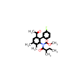 CCC(C)C(=O)N(C(=O)OC)c1c(C)c(C)cc(C(C)=O)c1-c1cccc(F)c1